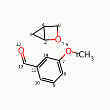 C1OC2CC12.COc1cccc(C=O)c1